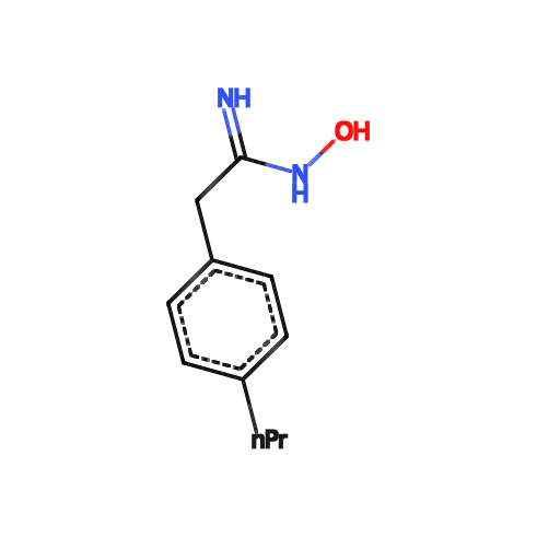 CCCc1ccc(CC(=N)NO)cc1